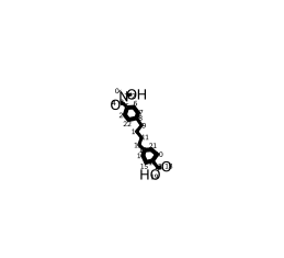 CN(O)C(=O)c1ccc(CCCCc2ccc(C(=O)O)cc2)cc1